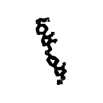 CCCCCC1CCC(c2ccc(COc3ccc(-c4ccc(OCC)cc4F)cc3)c(F)c2F)CC1